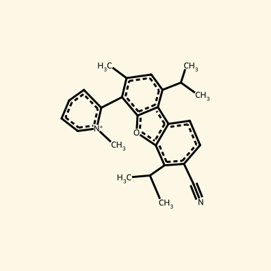 Cc1cc(C(C)C)c2c(oc3c(C(C)C)c(C#N)ccc32)c1-c1cccc[n+]1C